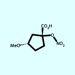 CO[C@H]1CC[C@](O[N+](=O)[O-])(C(=O)O)C1